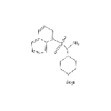 NC(C1CCC(C(=O)O)CC1)S(=O)(=O)c1cccc2ccccc12